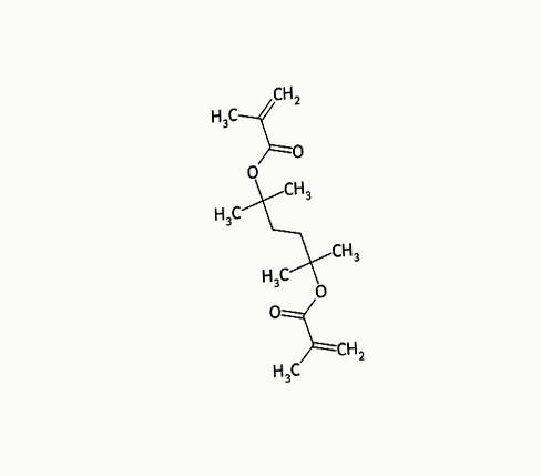 C=C(C)C(=O)OC(C)(C)CCC(C)(C)OC(=O)C(=C)C